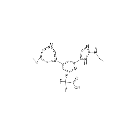 CCNc1ncc(-c2cc(-c3cncc(OC)c3)ccn2)[nH]1.O=C(O)C(F)(F)F